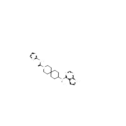 CN(c1ncnc2[nH]ccc12)C1CCC2(CC1)CCN(C(=O)Nc1nccs1)CC2